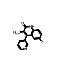 Cc1c(-c2cccnc2)c2cc(Cl)ccc2[nH]c1=O